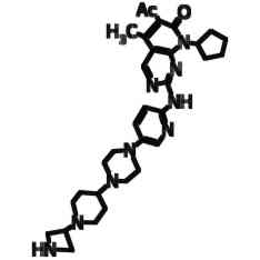 CC(=O)c1c(C)c2cnc(Nc3ccc(N4CCN(C5CCN(C6CNC6)CC5)CC4)cn3)nc2n(C2CCCC2)c1=O